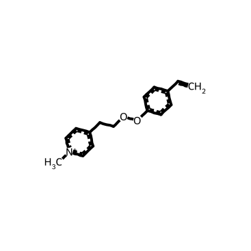 C=Cc1ccc(OOCCc2cc[n+](C)cc2)cc1